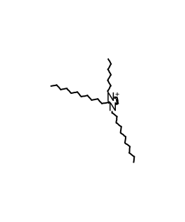 CCCCCCCCCCCc1n(CCCCCCCCCCC)cc[n+]1CCCCCCC